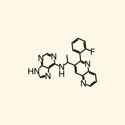 CC(Nc1ncnc2[nH]cnc12)c1cc2ncccc2nc1-c1ccccc1F